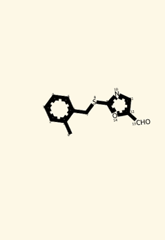 Cc1ccccc1CSc1ncc(C=O)o1